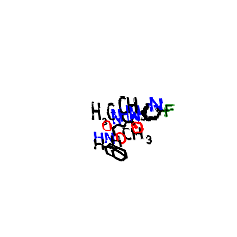 Cc1c(C(=O)Nc2ccc(F)nc2)c(C)n(C)c1C(=O)C(=O)NC1[C@H]2CC3CC(C2)C[C@@H]1C3